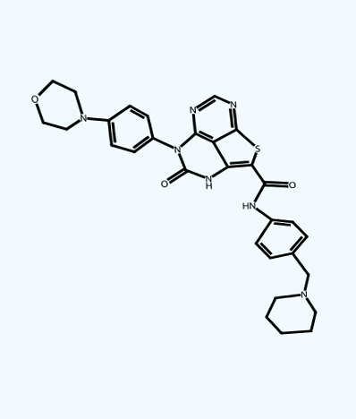 O=C(Nc1ccc(CN2CCCCC2)cc1)c1sc2ncnc3c2c1NC(=O)N3c1ccc(N2CCOCC2)cc1